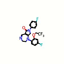 O=C1C2=C(CN1c1ccc(F)cc1)N(c1ccc(F)cc1OCC(F)(F)F)CCN=C2